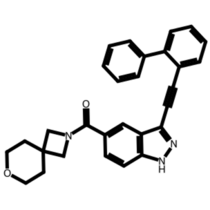 O=C(c1ccc2[nH]nc(C#Cc3ccccc3-c3ccccc3)c2c1)N1CC2(CCOCC2)C1